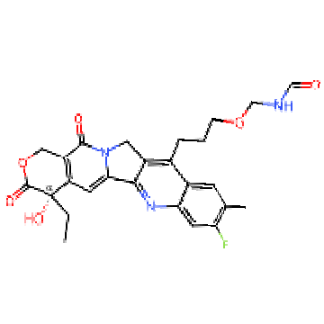 CC[C@@]1(O)C(=O)OCc2c1cc1n(c2=O)Cc2c-1nc1cc(F)c(C)cc1c2CCCOCNC=O